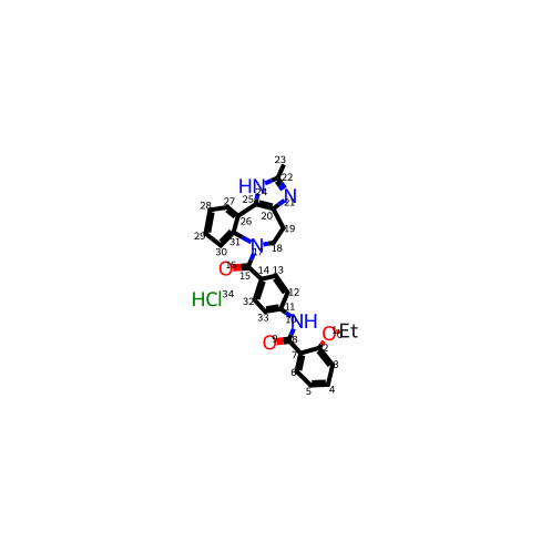 CCOc1ccccc1C(=O)Nc1ccc(C(=O)N2CCc3nc(C)[nH]c3-c3ccccc32)cc1.Cl